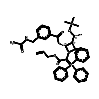 C=CCOC(=O)C(N1C(=O)[C@H]([C@@H](C)O[Si](C)(C)C)[C@H]1CC(=O)c1cccc(CNC(N)=O)c1)=P(c1ccccc1)(c1ccccc1)c1ccccc1